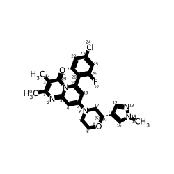 Cc1nc2cc(N3CCO[C@@H](c4cnn(C)c4)C3)cc(-c3ccc(Cl)cc3F)n2c(=O)c1C